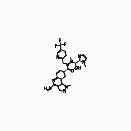 CN(C(O)c1nccn1C)N(Cc1ccc(C(F)(F)F)cn1)C(=O)c1ccc2nc(N)c3cnn(C)c3c2c1